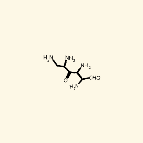 NCC(N)C(=O)C(N)C(N)C=O